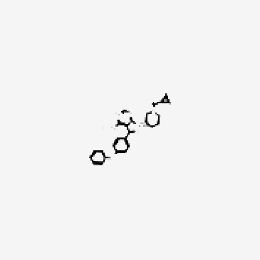 Nc1ncnc2c1c(-c1ccc(Oc3ccccc3)cc1)nn2[C@@H]1CCCN(C(=O)C2CC2)C1